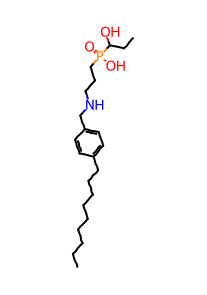 CCCCCCCCCc1ccc(CNCCCP(=O)(O)C(O)CC)cc1